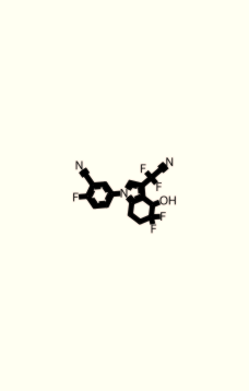 N#Cc1cc(-n2cc(C(F)(F)C#N)c3c2CCC(F)(F)C3O)ccc1F